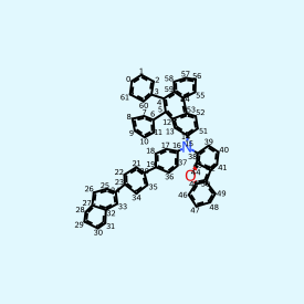 c1ccc(-c2c(-c3ccccc3)c3cc(N(c4ccc(-c5ccc(-c6ccc7ccccc7c6)cc5)cc4)c4cccc5c4oc4ccccc45)ccc3c3ccccc23)cc1